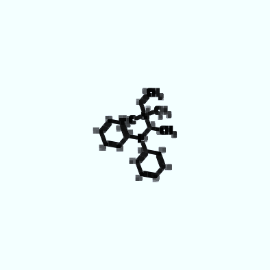 C=C[Si](C)(C)C(C)P(c1ccccc1)c1ccccc1